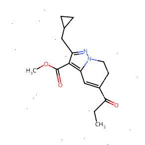 CCC(=O)C1=Cc2c(C(=O)OC)c(CC3CC3)nn2CC1